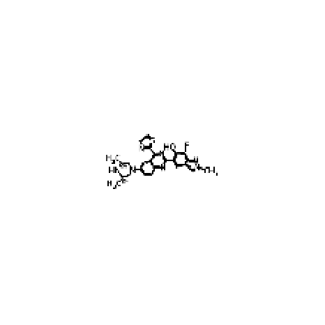 C[C@H]1CN(c2ccc3nc(-c4cc5cn(C)nc5c(F)c4O)nc(-c4nccs4)c3c2)C[C@H](C)N1